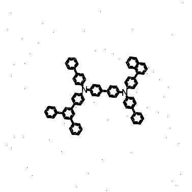 c1ccc(-c2ccc(N(c3ccc(-c4ccc(N(c5ccc(-c6ccccc6)cc5)c5ccc(-c6cccc7ccccc67)cc5)cc4)cc3)c3ccc(-c4cc(-c5ccccc5)cc(-c5ccccc5)c4)cc3)cc2)cc1